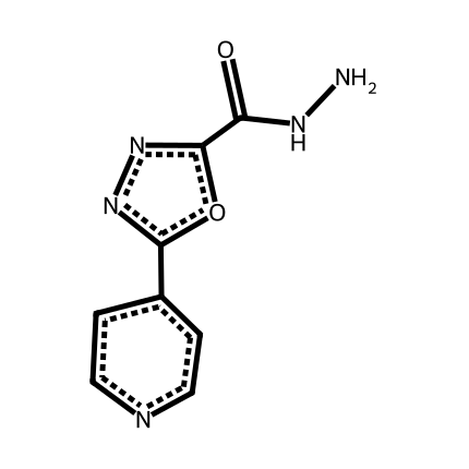 NNC(=O)c1nnc(-c2ccncc2)o1